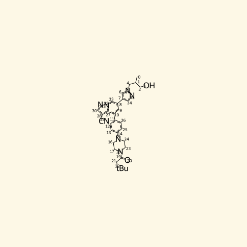 CC(CO)Cn1cc(-c2cc(-c3ccc(N4CCN(C(=O)CC(C)(C)C)CC4)cc3)c3c(C#N)cnn3c2)cn1